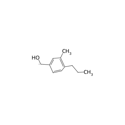 CCCc1ccc([CH]O)cc1C